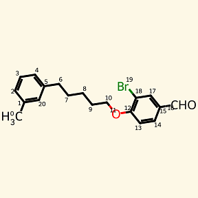 Cc1cccc(CCCCCOc2ccc(C=O)cc2Br)c1